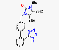 CCCCc1c(C=O)n(C(C)(C)C)c(=O)n1Cc1ccc(-c2ccccc2-c2nnn[nH]2)cc1